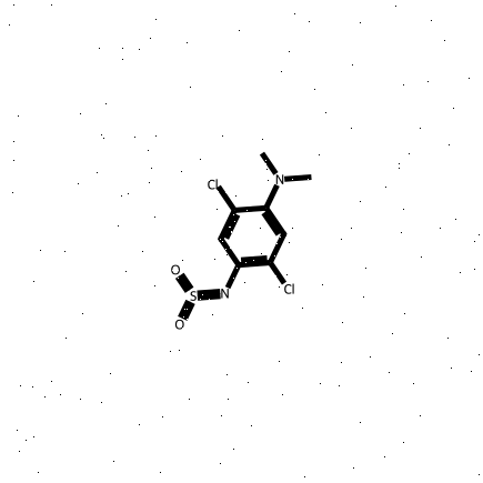 CN(C)c1cc(Cl)c(N=S(=O)=O)cc1Cl